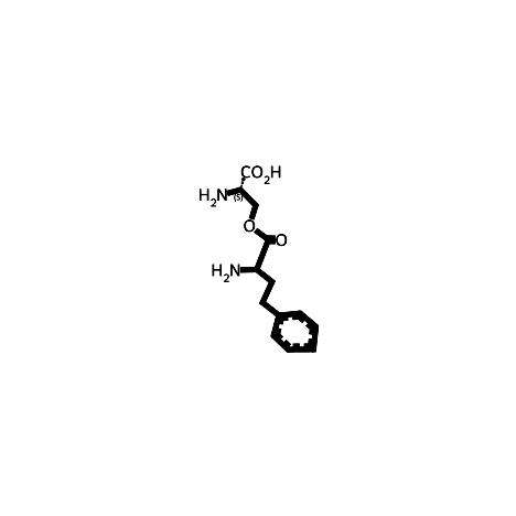 NC(CCc1ccccc1)C(=O)OC[C@H](N)C(=O)O